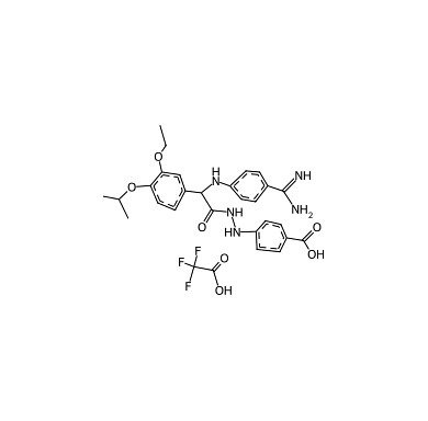 CCOc1cc(C(Nc2ccc(C(=N)N)cc2)C(=O)NNc2ccc(C(=O)O)cc2)ccc1OC(C)C.O=C(O)C(F)(F)F